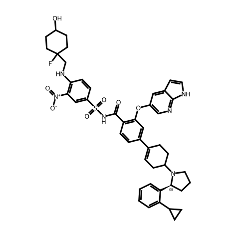 O=C(NS(=O)(=O)c1ccc(NCC2(F)CCC(O)CC2)c([N+](=O)[O-])c1)c1ccc(C2=CCC(N3CCC[C@H]3c3ccccc3C3CC3)CC2)cc1Oc1cnc2[nH]ccc2c1